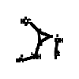 CCCNC1CC1C.CCO